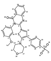 COc1cccc(-n2c(-c3cc(-c4ccc(S(C)(=O)=O)cc4)c(N4CCOCC4)s3)nc3ccccc3c2=O)c1